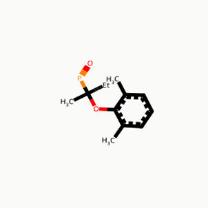 CCC(C)(Oc1c(C)cccc1C)P=O